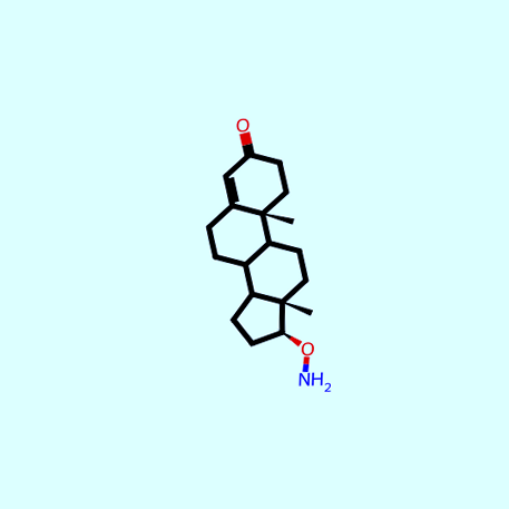 C[C@]12CCC(=O)C=C1CCC1C2CC[C@@]2(C)C1CC[C@@H]2ON